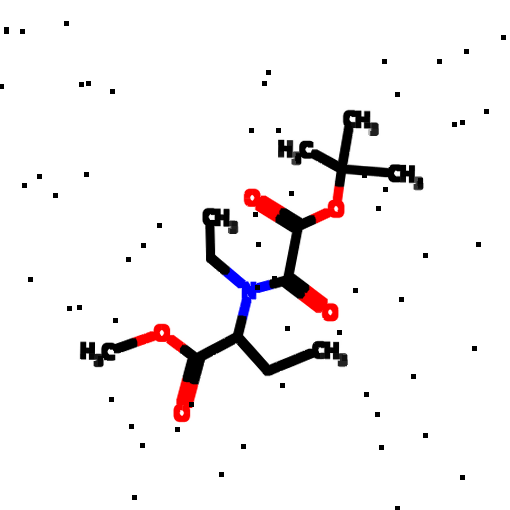 CCC(C(=O)OC)N(CC)C(=O)C(=O)OC(C)(C)C